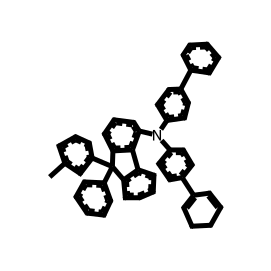 Cc1cccc(C2(c3ccccc3)c3ccccc3-c3c(N(c4ccc(C5=CCCC=C5)cc4)c4ccc(-c5ccccc5)cc4)cccc32)c1